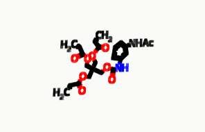 C=CC(=O)OCC(COC(=O)C=C)(COC(=O)C=C)COC(=O)Nc1cccc(NC(C)=O)c1